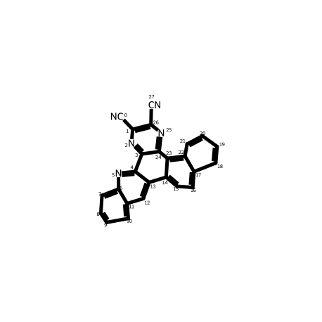 N#Cc1nc2c3nc4ccccc4cc3c3ccc4ccccc4c3c2nc1C#N